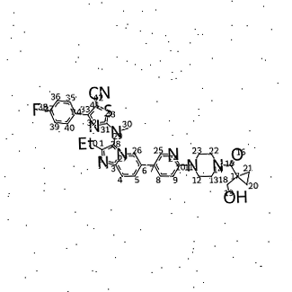 CCc1nc2ccc(-c3ccc(N4CCN(C(=O)C5(CO)CC5)CC4)nc3)cn2c1N(C)c1nc(-c2ccc(F)cc2)c(C#N)s1